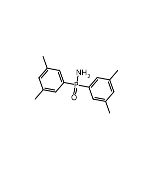 Cc1cc(C)cc(P(N)(=O)c2cc(C)cc(C)c2)c1